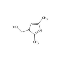 Cc1cn(CO)c(C)n1